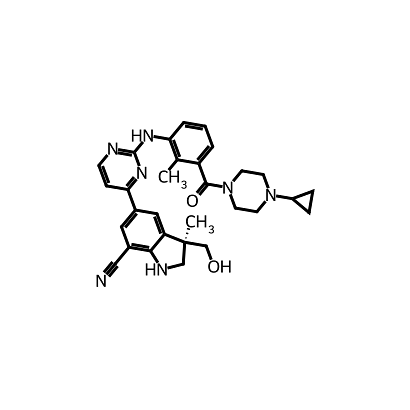 Cc1c(Nc2nccc(-c3cc(C#N)c4c(c3)[C@@](C)(CO)CN4)n2)cccc1C(=O)N1CCN(C2CC2)CC1